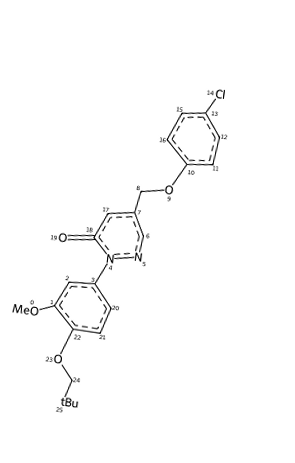 COc1cc(-n2ncc(COc3ccc(Cl)cc3)cc2=O)ccc1OCC(C)(C)C